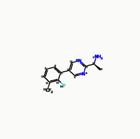 C[C@H](N)c1ncc(-c2cccc(C(F)(F)F)c2F)cn1